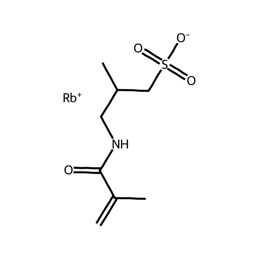 C=C(C)C(=O)NCC(C)CS(=O)(=O)[O-].[Rb+]